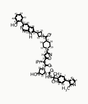 Cc1ncsc1-c1ccc(C(C)(C)NC(=O)[C@@H]2C[C@@H](O)CN2C(=O)[C@H](c2cc(N3CCC(C(=O)N4CC(c5cc6cc(-c7ccccc7O)nnc6[nH]5)C4)CC3)no2)C(C)C)cc1